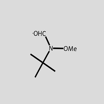 CON([C]=O)C(C)(C)C